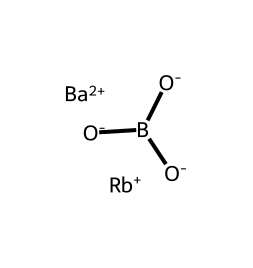 [Ba+2].[O-]B([O-])[O-].[Rb+]